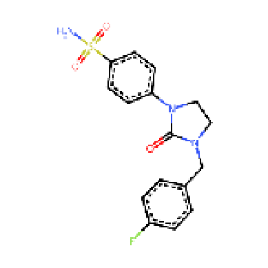 NS(=O)(=O)c1ccc(N2CCN(Cc3ccc(F)cc3)C2=O)cc1